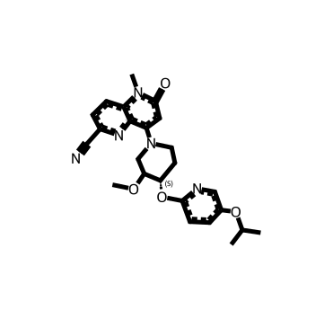 COC1CN(c2cc(=O)n(C)c3ccc(C#N)nc23)CC[C@@H]1Oc1ccc(OC(C)C)cn1